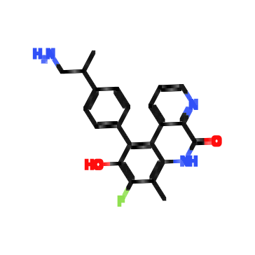 Cc1c(F)c(O)c(-c2ccc(C(C)CN)cc2)c2c1[nH]c(=O)c1ncccc12